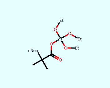 CCCCCCCCCC(C)(C)C(=O)O[Si](OCC)(OCC)OCC